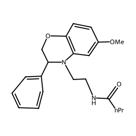 CCCC(=O)NCCN1c2cc(OC)ccc2OCC1c1ccccc1